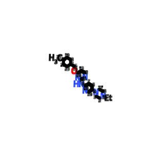 CCN1CCN(c2ccc(Nc3nccc(OCC4CCC(C)CC4)n3)nc2)CC1